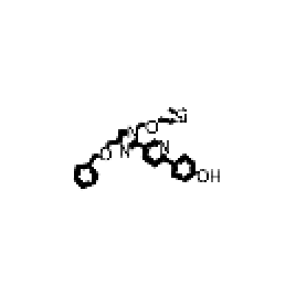 C[Si](C)(C)CCOCn1cc(COCc2ccccc2)nc1-c1ccc(-c2ccc(O)cc2)nc1